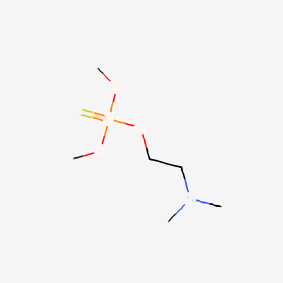 CCOP(=S)(OCC)OCCN(C)C